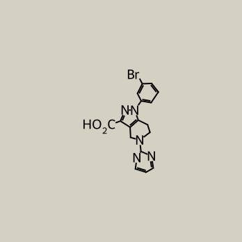 O=C(O)c1nn(-c2cccc(Br)c2)c2c1CN(c1ncccn1)CC2